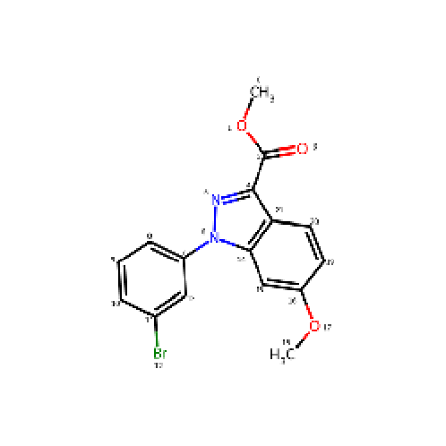 COC(=O)c1nn(-c2cccc(Br)c2)c2cc(OC)ccc12